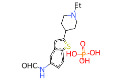 CCN1CCC(c2cc3cc(NC=O)ccc3s2)CC1.O=P(O)(O)O